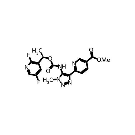 COC(=O)c1ccc(-c2nnn(C)c2NC(=O)O[C@H](C)c2cc(F)cnc2F)nc1